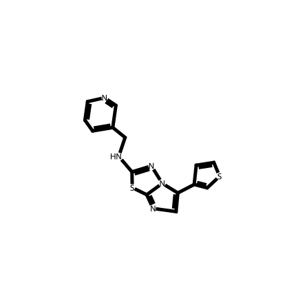 c1cncc(CNc2nn3c(-c4ccsc4)cnc3s2)c1